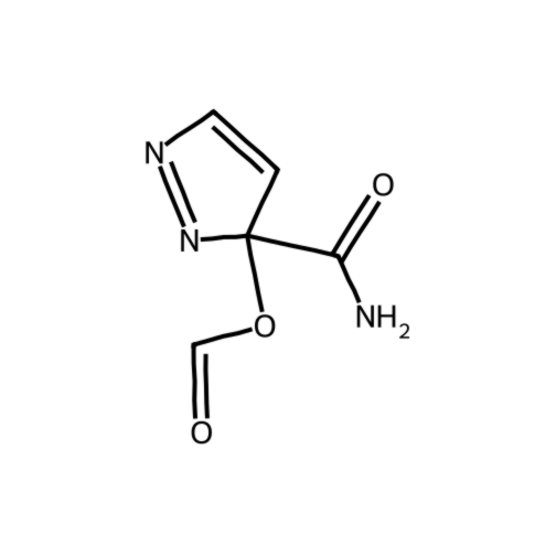 NC(=O)C1(OC=O)C=CN=N1